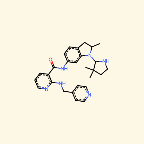 CC1Cc2ccc(NC(=O)c3cccnc3NCc3ccncc3)cc2N1C1NCCC1(C)C